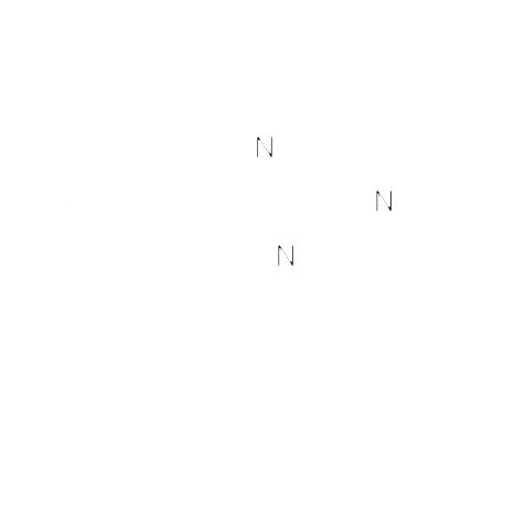 Cn1c2c#cccc2n2c3ccccc3nc12